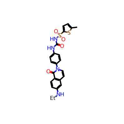 CCNc1ccc2c(=O)n(-c3ccc(NC(=O)NS(=O)(=O)c4ccc(C)s4)cc3)ccc2c1